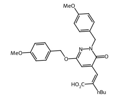 CCCCC(=Cc1cc(OCc2ccc(OC)cc2)nn(Cc2ccc(OC)cc2)c1=O)C(=O)O